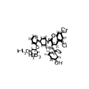 CC[C@@H](CN(C)C)Oc1cccnc1C1CCN(C(=O)[C@@H](Cc2ccc(Cl)cc2Cl)NC(=O)N2CCC[C@@H](O)C2)CC1